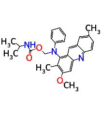 COc1cc2nc3ccc(C)cc3cc2c(N(COC(=O)NC(C)C)c2ccccc2)c1C